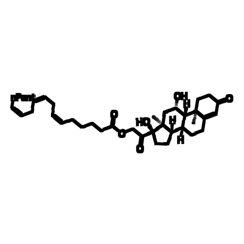 CCCCC/C=C\C/C=C\C/C=C\CCCCC(=O)OCC(=O)[C@@]1(O)CC[C@H]2[C@@H]3CCC4=CC(=O)CC[C@]4(C)[C@H]3[C@@H](O)C[C@@]21C